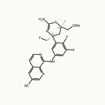 COC[C@@]1(C)C[C@@](CF)(c2cc(Nc3nccc4cc(C#N)cnc34)cc(F)c2F)N=C(N)S1